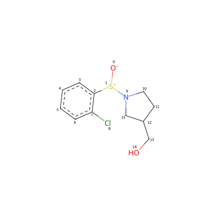 [O-][S+](c1ccccc1Cl)N1CCC(CO)C1